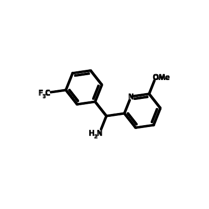 COc1cccc(C(N)c2cccc(C(F)(F)F)c2)n1